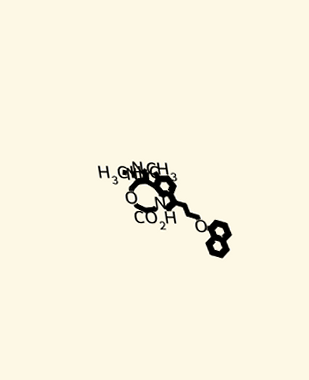 Cc1ccc2c(CCCOc3cccc4ccccc34)c(C(=O)O)n3c2c1-c1c(C)nn(C)c1COCCC3